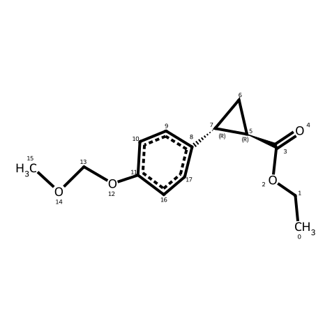 CCOC(=O)[C@@H]1C[C@H]1c1ccc(OCOC)cc1